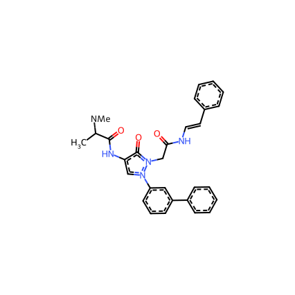 CNC(C)C(=O)Nc1cn(-c2cccc(-c3ccccc3)c2)n(CC(=O)NC=Cc2ccccc2)c1=O